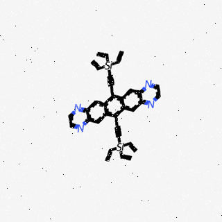 C=C[Si](C#Cc1c2cc3nccnc3cc2c(C#C[Si](C=C)(C=C)C=C)c2cc3nccnc3cc12)(C=C)C=C